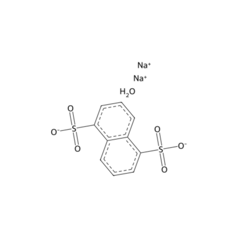 O.O=S(=O)([O-])c1cccc2c(S(=O)(=O)[O-])cccc12.[Na+].[Na+]